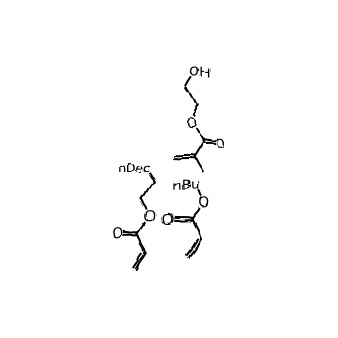 C=C(C)C(=O)OCCO.C=CC(=O)OCCCC.C=CC(=O)OCCCCCCCCCCCC